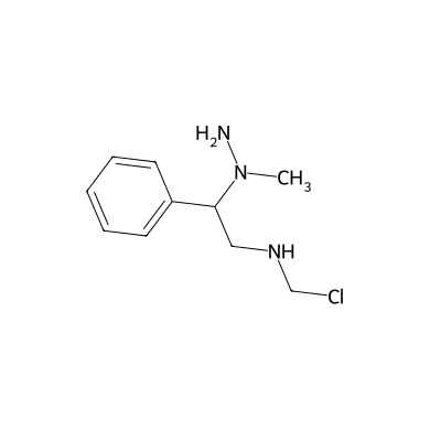 CN(N)C(CNCCl)c1ccccc1